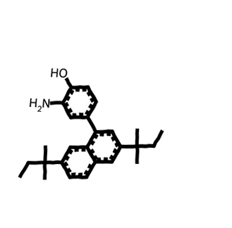 CCC(C)(C)c1cc(-c2ccc(O)c(N)c2)c2cc(C(C)(C)CC)ccc2c1